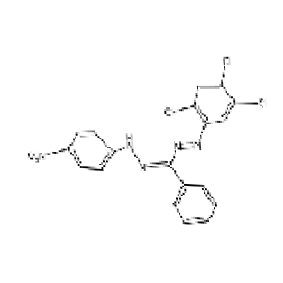 O=[N+]([O-])c1ccc(NN=C(N=Nc2cc(Cl)c(Cl)cc2Cl)c2ccccc2)cc1